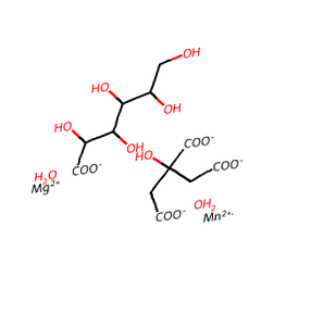 O.O.O=C([O-])C(O)C(O)C(O)C(O)CO.O=C([O-])CC(O)(CC(=O)[O-])C(=O)[O-].[Mg+2].[Mn+2]